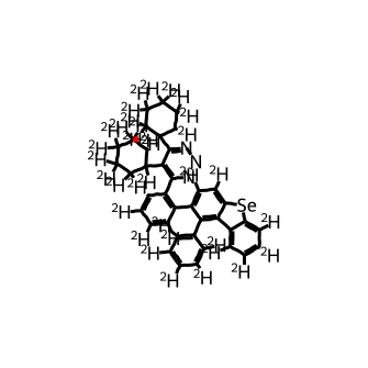 [2H]c1cc(-c2nnnc(C3([2H])C([2H])C([2H])([2H])C([2H])([2H])C([2H])([2H])C3([2H])[2H])c2C2([2H])C([2H])C([2H])([2H])C([2H])([2H])C([2H])([2H])C2([2H])[2H])c(-c2c([2H])c([2H])c3[se]c4c([2H])c([2H])c([2H])c([2H])c4c3c2-c2c([2H])c([2H])c([2H])c([2H])c2[2H])c([2H])c1[2H]